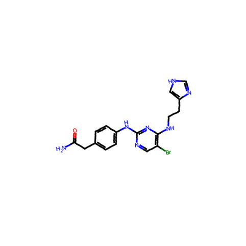 NC(=O)Cc1ccc(Nc2ncc(Br)c(NCCc3c[nH]cn3)n2)cc1